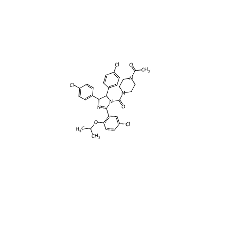 CC(=O)N1CCN(C(=O)N2C(c3cc(Cl)ccc3OC(C)C)=NC(c3ccc(Cl)cc3)C2c2ccc(Cl)cc2)CC1